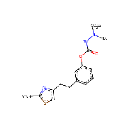 CCOC(=O)N(NC(=O)Oc1cccc(CCc2csc(NC(C)=O)n2)c1)C(C)(C)C